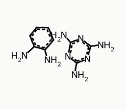 Nc1ccccc1N.Nc1nc(N)nc(N)n1